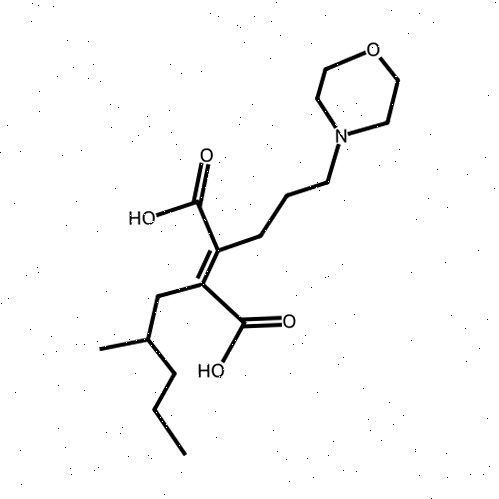 CCCC(C)C/C(C(=O)O)=C(/CCCN1CCOCC1)C(=O)O